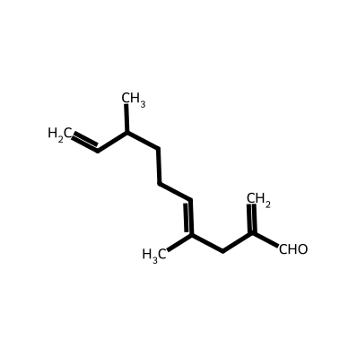 C=CC(C)CCC=C(C)CC(=C)C=O